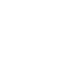 C=CCCCCCCCCCCCCCC(C)CC